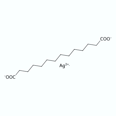 O=C([O-])CCCCCCCCCCCCC(=O)[O-].[Ag+2]